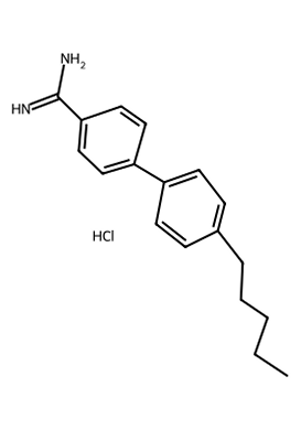 CCCCCc1ccc(-c2ccc(C(=N)N)cc2)cc1.Cl